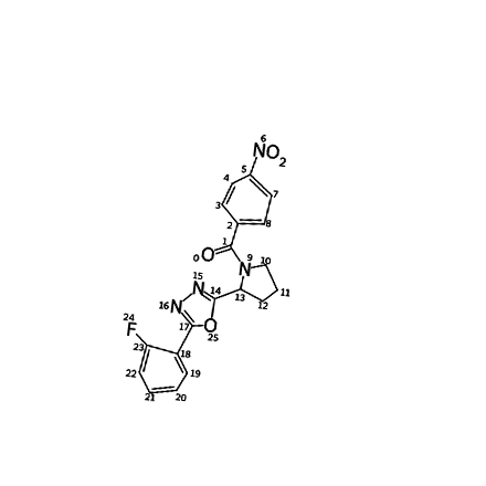 O=C(c1ccc([N+](=O)[O-])cc1)N1CCCC1c1nnc(-c2ccccc2F)o1